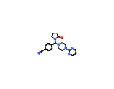 N#Cc1ccc(C(N2CCN(c3ncccn3)CC2)N2CCCC2=O)cc1